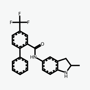 CC1Cc2cc(NC(=O)c3cc(C(F)(F)F)ccc3-c3ccccc3)ccc2N1